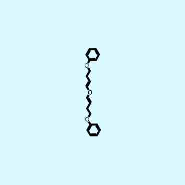 C(=COC=CCCOc1ccccc1)CCOc1ccccc1